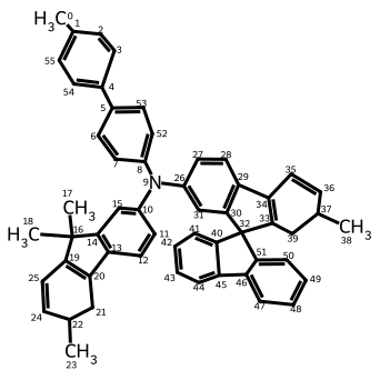 Cc1ccc(-c2ccc(N(c3ccc4c(c3)C(C)(C)C3=C4CC(C)C=C3)c3ccc4c(c3)C3(C5=C4C=CC(C)C5)c4ccccc4-c4ccccc43)cc2)cc1